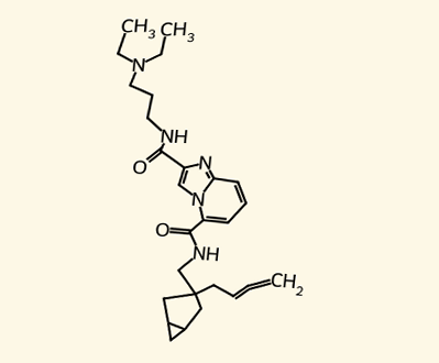 C=C=CCC1(CNC(=O)c2cccc3nc(C(=O)NCCCN(CC)CC)cn23)CC2CC2C1